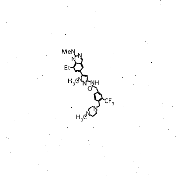 CCc1cc(-c2cc(NC(=O)Cc3ccc(CN4CCN(C)CC4)c(C(F)(F)F)c3)nn2C)cc2cnc(NC)nc12